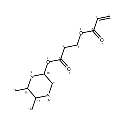 C=CC(=O)OCCC(=O)OC1CSC(C)C(C)S1